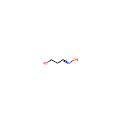 O[CH]C/C=N/O